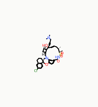 C[C@@H]1[C@@H](C)C/C=C/[C@@](O)(C#CCN(C)C)[C@@H]2CC[C@H]2CN2C[C@@]3(CCCc4cc(Cl)ccc43)COc3ccc(cc32)C(=O)NS1(=O)=O